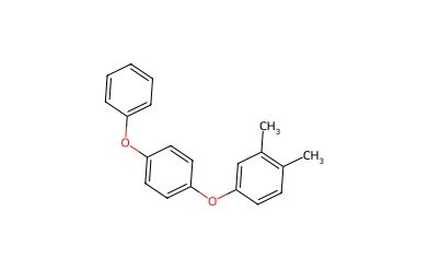 Cc1ccc(Oc2ccc(Oc3ccccc3)cc2)cc1C